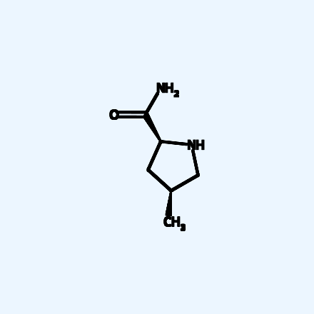 C[C@@H]1CN[C@H](C(N)=O)C1